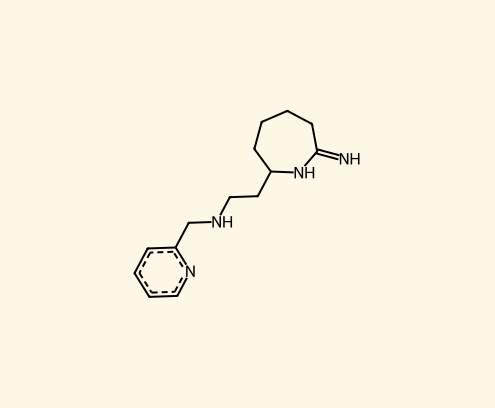 N=C1CCCCC(CCNCc2ccccn2)N1